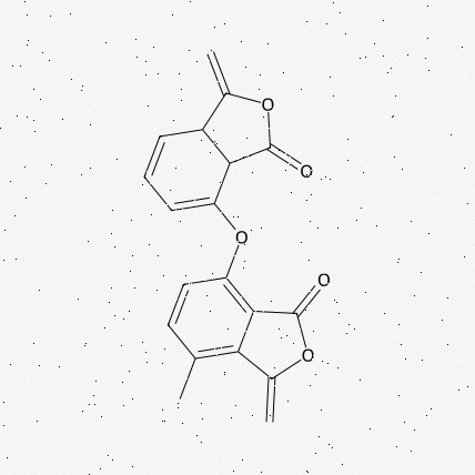 C=C1OC(=O)c2c(OC3=CC=CC4C(=C)OC(=O)C34)ccc(C)c21